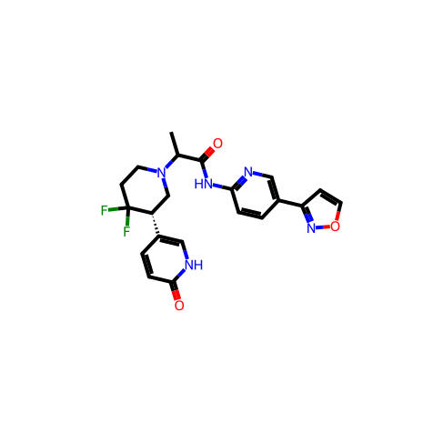 CC(C(=O)Nc1ccc(-c2ccon2)cn1)N1CCC(F)(F)[C@@H](c2ccc(=O)[nH]c2)C1